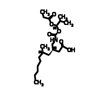 CCCCCC[C@@H](C)C[C@H](CNC(=O)O[C@@H](OC(=O)CC)C(C)C)CC(=O)O